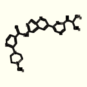 CC(C)Nc1cncc(-c2cnc3cnc(NC(=O)c4ccnc(N5CCN(C)CC5)c4)cc3c2)n1